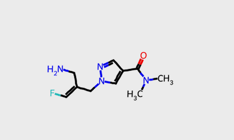 CN(C)C(=O)c1cnn(C/C(=C/F)CN)c1